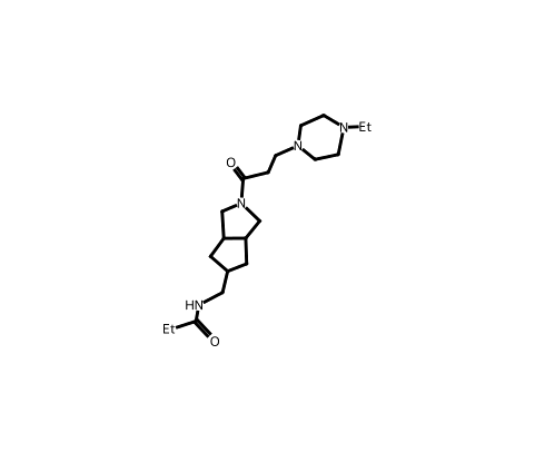 CCC(=O)NCC1CC2CN(C(=O)CCN3CCN(CC)CC3)CC2C1